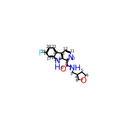 O=C(NCC1CCOC1)c1nccc2c1[nH]c1cc(F)ccc12